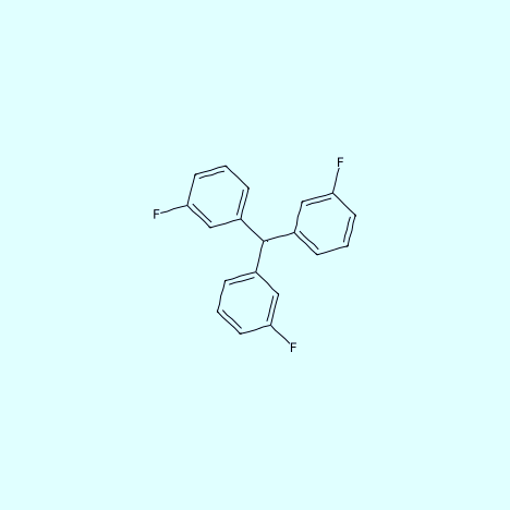 Fc1cccc([C](c2cccc(F)c2)c2cccc(F)c2)c1